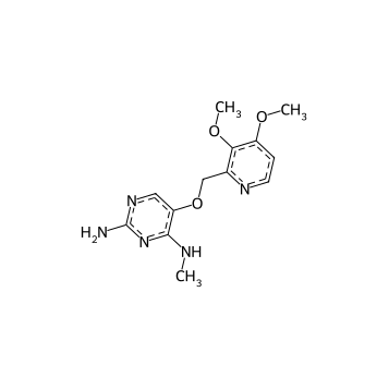 CNc1nc(N)ncc1OCc1nccc(OC)c1OC